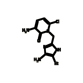 CCc1[nH]c(Cn2c(Cl)ccc(N)c2=O)nc1N